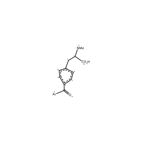 CNC(Cc1ccc(C(=O)C(C)=O)cc1)C(=O)O